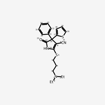 CCN(CC)CCCSC1=C(C#N)C(c2ccccc2)(c2cccs2)C(=O)N1